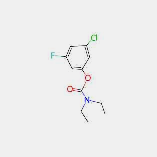 CCN(CC)C(=O)Oc1cc(F)cc(Cl)c1